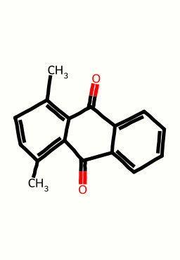 Cc1ccc(C)c2c1C(=O)c1ccccc1C2=O